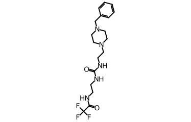 O=C(NCCNC(=O)C(F)(F)F)NCCN1CCN(Cc2ccccc2)CC1